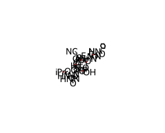 CC(C)C(=O)Nc1nc2c(ncn2[C@@H]2O[C@@H]3COP(=O)(OCCC#N)O[C@@H]4C(COP(O)O[C@H]2[C@@H]3F)O[C@@H](n2cnc3c(NC(=O)c5ccccc5)ncnc32)[C@H]4F)c(=O)[nH]1